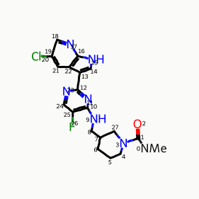 CNC(=O)N1CCCC(CNc2nc(-c3c[nH]c4ncc(Cl)cc34)ncc2F)C1